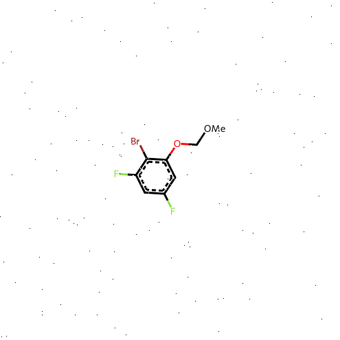 COCOc1cc(F)cc(F)c1Br